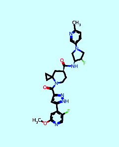 COc1cc(-c2cc(C(=O)N3CC[C@H](C(=O)N[C@@H]4CN(c5ccc(C)nc5)C[C@H]4F)CC34CC4)n[nH]2)c(F)cn1